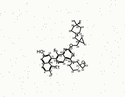 CCc1c(F)ccc2cc(O)cc(-c3ncc4c(N5CCC[C@]6(CCO6)C5)nc(OCC5(CN6CCC(C)(F)CC6)CC5)nc4c3F)c12